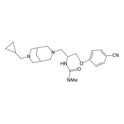 CNC(=O)NC(COc1ccc(C#N)cc1)CN1CC2CC(CN(CC3CC3)C2)C1